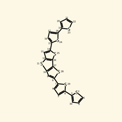 c1csc(-c2ccc(-c3cc4sc5cc(-c6ccc(-c7cccs7)s6)sc5c4s3)s2)c1